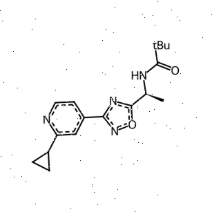 C[C@H](NC(=O)C(C)(C)C)c1nc(-c2ccnc(C3CC3)c2)no1